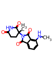 CNc1cccc2c1C(=O)N(C1(C)CCC(=O)NC1=O)C2=O